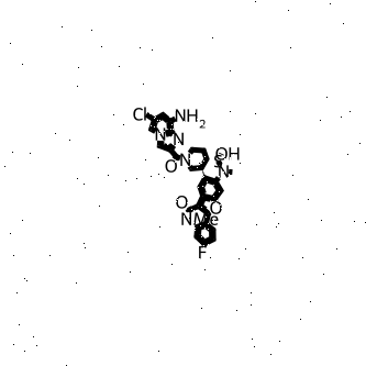 CNC(=O)c1c(-c2ccc(F)cc2)oc2cc(N(C)SO)c([C@H]3CCCN(C(=O)c4cn5cc(Cl)cc(N)c5n4)C3)cc12